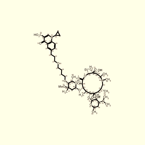 CC[C@H]1OC(=O)[C@H](C)[C@@H](O[C@H]2C[C@@](C)(OC)[C@@H](OCCCCOCCCc3ccc4c(c3)c(=O)c(C(=O)O)cn4C3CC3)[C@H](C)O2)[C@H](C)[C@@H](O[C@@H]2O[C@H](C)C[C@H](N(C)C)[C@H]2O)[C@](C)(O)C[C@@H](C)CN(C)[C@H](C)[C@@H](O)[C@]1(C)O